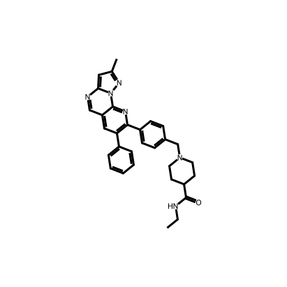 CCNC(=O)C1CCN(Cc2ccc(-c3nc4c(cnc5cc(C)nn54)cc3-c3ccccc3)cc2)CC1